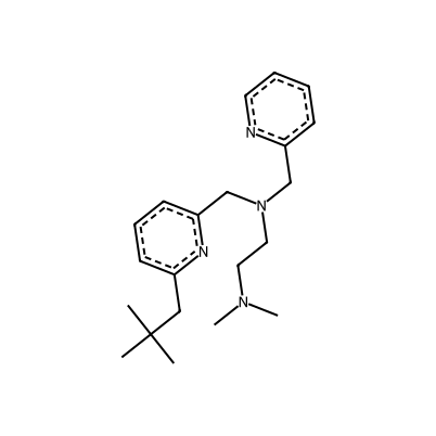 CN(C)CCN(Cc1ccccn1)Cc1cccc(CC(C)(C)C)n1